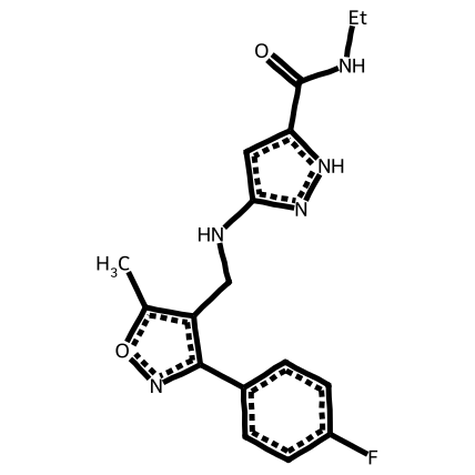 CCNC(=O)c1cc(NCc2c(-c3ccc(F)cc3)noc2C)n[nH]1